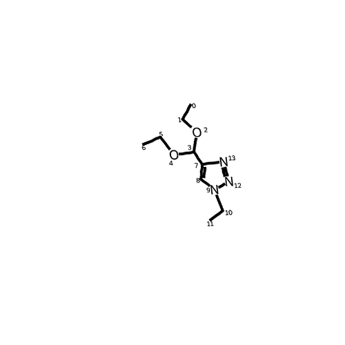 CCOC(OCC)c1cn(CC)nn1